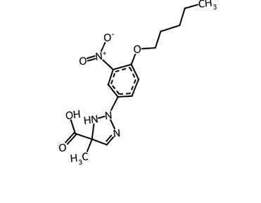 CCCCCOc1ccc(N2N=CC(C)(C(=O)O)N2)cc1[N+](=O)[O-]